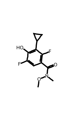 CON(C)C(=O)c1cc(F)c(O)c(C2CC2)c1F